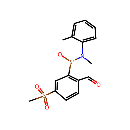 Cc1ccccc1N(C)[S+]([O-])c1cc(S(C)(=O)=O)ccc1C=O